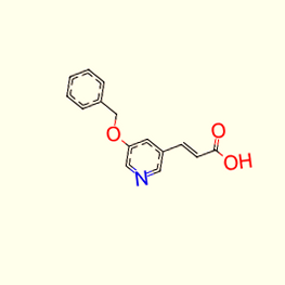 O=C(O)/C=C/c1cncc(OCc2ccccc2)c1